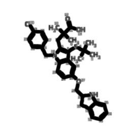 CC(C)(C)Sc1c(CC(C)(C)C(=O)O)n(Cc2ccc(Cl)cc2)c2ccc(OCC3Cc4ccccc4N3)cc12